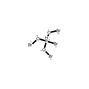 BrO[PH](Br)(OBr)OBr